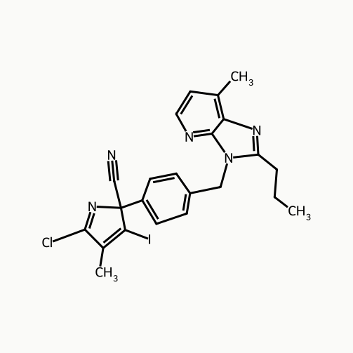 CCCc1nc2c(C)ccnc2n1Cc1ccc(C2(C#N)N=C(Cl)C(C)=C2I)cc1